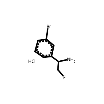 Cl.NC(CF)c1cccc(Br)c1